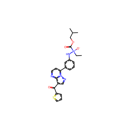 CC[N+]([O-])(Nc1cccc(-c2ccnc3c(C(=O)c4cccs4)cnn23)c1)C(=O)OCC(C)C